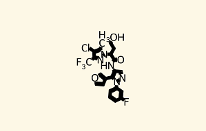 Cc1c(Cl)c(C(F)(F)F)nn1C(CCO)C(=O)Nc1cnn(-c2cccc(F)c2)c1-c1ccoc1